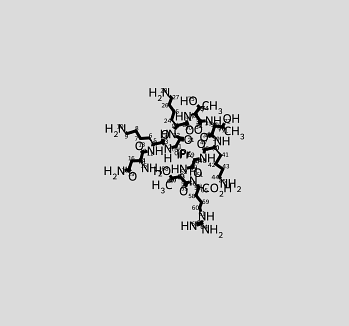 CC(C)[C@H](NC(=O)[C@H](CCCCN)NC(=O)[C@@H](N)CC(N)=O)C(=O)N[C@@H](CCCCN)C(=O)N[C@H](C(=O)N[C@H](C(=O)N[C@@H](CCCCN)C(=O)N[C@H](C(=O)N[C@H](C(=O)N[C@@H](CCCNC(=N)N)C(=O)O)[C@@H](C)O)C(C)C)[C@@H](C)O)[C@@H](C)O